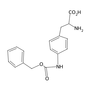 NC(Cc1ccc(NC(=O)OCc2ccccc2)cc1)C(=O)O